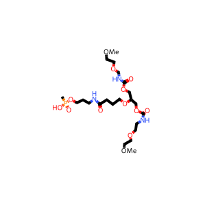 COCCOCCNC(=O)OCC(COC(=O)NCOCCOC)OCCCC(=O)NCCCOP(C)(=O)O